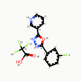 Fc1cccc(-c2nnc(-c3cccnc3)o2)c1.O=C(O)C(F)(F)F